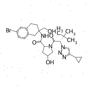 CC(C)(C)[C@@H](C(=O)N1CC(O)CC1C(=O)NC1(CO)CCc2cc(Br)ccc2C1)n1cc(C2CC2)nn1